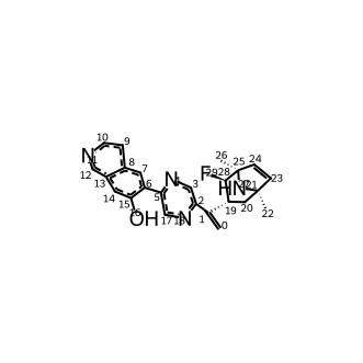 C=C(c1cnc(-c2cc3ccncc3cc2O)cn1)[C@H]1C[C@]2(C)C=C[C@@](C)(N2)[C@@H]1F